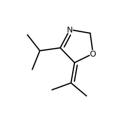 CC(C)=C1OCN=C1C(C)C